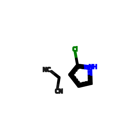 Clc1ccc[nH]1.N#CCC#N